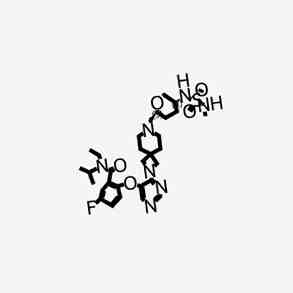 CCN(C(=O)c1cc(F)ccc1Oc1cncnc1N1CC2(CCN(C[C@@H]3CC[C@@H](NS(=O)(=O)NC)CO3)CC2)C1)C(C)C